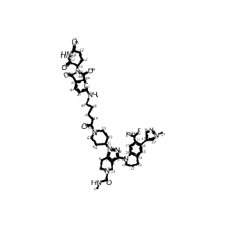 CNC(=O)N1CCc2c(c(N3CCCc4cc(-c5cnn(C)c5)c(C(F)F)cc43)nn2C2CCN(C(=O)CCCCNc3ccc4c(c3)C(=O)N(C3CCC(=O)NC3=O)C4=O)CC2)C1